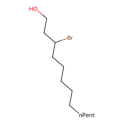 CCCCCCCCC[CH]C(Br)CCO